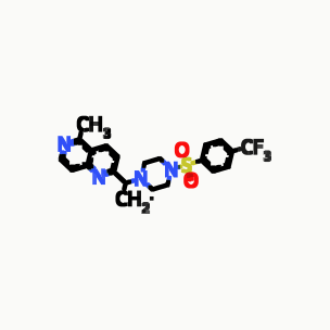 [CH2]C(c1ccc2c(C)nccc2n1)N1CCN(S(=O)(=O)c2ccc(C(F)(F)F)cc2)CC1